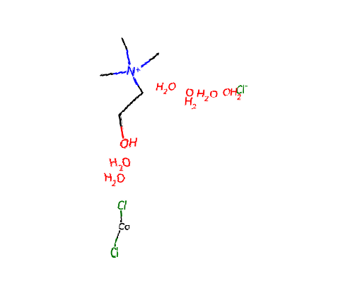 C[N+](C)(C)CCO.O.O.O.O.O.O.[Cl-].[Cl][Co][Cl]